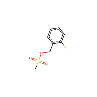 CS(=O)(=O)OCc1ccccc1F